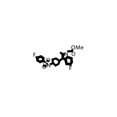 COC(=O)Cn1c(C)c(C2CCC(NS(=O)(=O)c3ccc(F)cc3)CC2)c2cc(F)ccc21